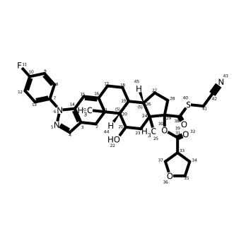 CC12Cc3cnn(-c4ccc(F)cc4)c3C=C1CCC1[C@@H]2C(O)CC2(C)[C@H]1CCC2(OC(=O)C1CCOC1)C(=O)SCC#N